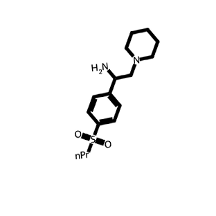 CCCS(=O)(=O)c1ccc(C(N)CN2CCCCC2)cc1